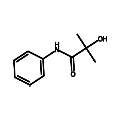 CC(C)(O)C(=O)Nc1c[c]ccc1